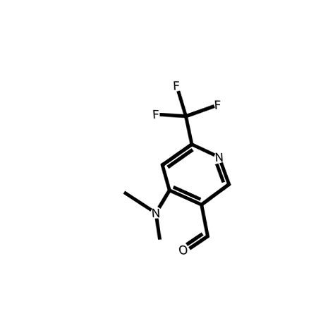 CN(C)c1cc(C(F)(F)F)ncc1C=O